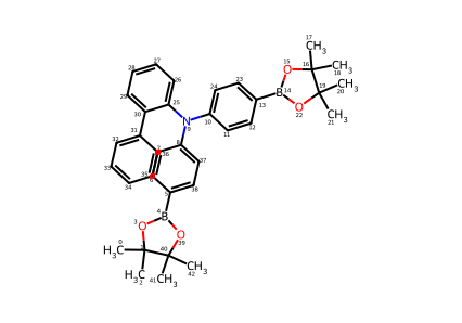 CC1(C)OB(c2ccc(N(c3ccc(B4OC(C)(C)C(C)(C)O4)cc3)c3ccccc3-c3ccccc3)cc2)OC1(C)C